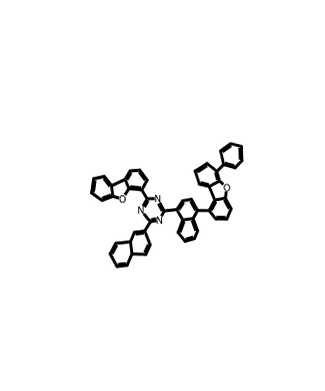 C1=CC2C=CC(c3nc(-c4ccc(-c5cccc6oc7c(-c8ccccc8)cccc7c56)c5ccccc45)nc(-c4cccc5c4oc4ccccc45)n3)=CC2C=C1